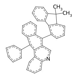 CC1(C)c2ccccc2-c2c(-c3c4ccccc4c(-c4ccccc4)c4c3cnc3ccccc34)cccc21